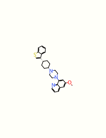 COc1cc(N2CCN([C@H]3CC[C@@H](c4csc5ccccc54)CC3)CC2)c2ncccc2c1